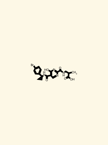 CC(CNC(=O)c1ncc(C(=O)NC2(c3ccc(Br)cc3)CC2)c(O)n1)C(=O)O